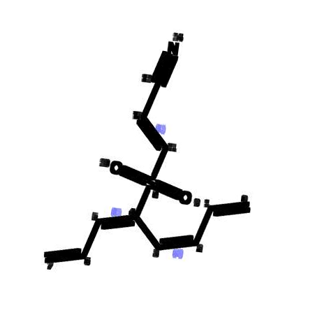 C=C/C=C\C(=C/C=C)S(=O)(=O)/C=C/C#N